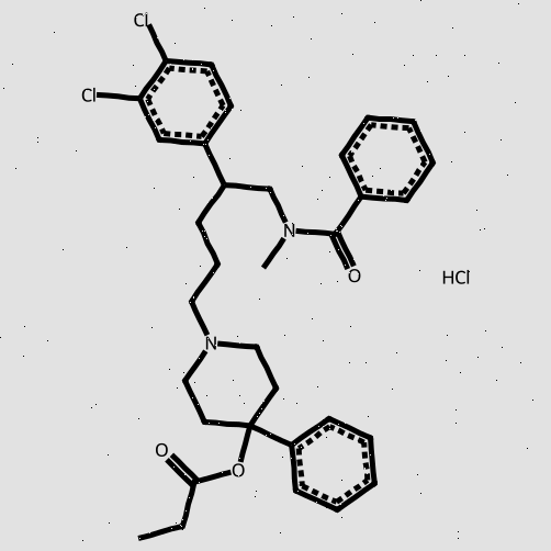 CCC(=O)OC1(c2ccccc2)CCN(CCCC(CN(C)C(=O)c2ccccc2)c2ccc(Cl)c(Cl)c2)CC1.Cl